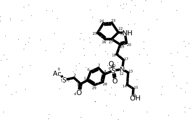 CC(=O)SCC(=O)c1ccc(S(=O)(=O)N(CCCO)CCC2=CNC3C=CC=CC23)cc1